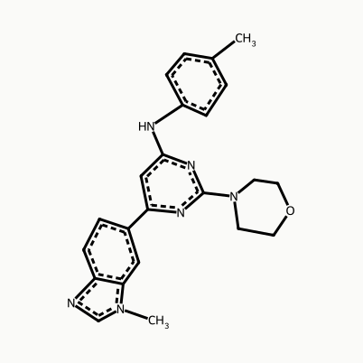 Cc1ccc(Nc2cc(-c3ccc4ncn(C)c4c3)nc(N3CCOCC3)n2)cc1